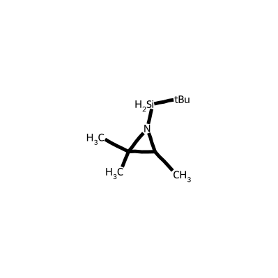 CC1N([SiH2]C(C)(C)C)C1(C)C